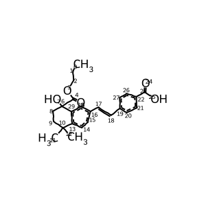 CCCOC(=O)C1(O)CCC(C)(C)c2ccc(C=Cc3ccc(C(=O)O)cc3)cc21